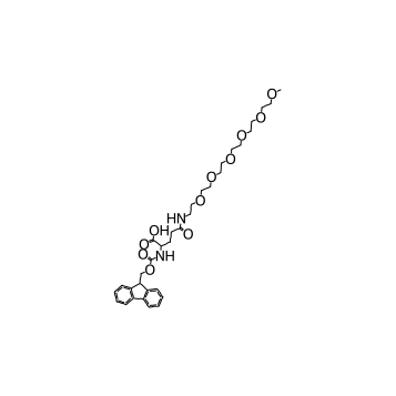 COCCOCCOCCOCCOCCOCCNC(=O)CCC(NC(=O)OCC1c2ccccc2-c2ccccc21)C(=O)O